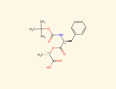 C[C@H](OC(=O)[C@H](Cc1ccccc1)NC(=O)OC(C)(C)C)C(=O)O